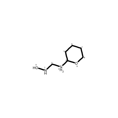 ONC[SiH2]C1CCCCO1